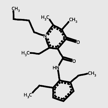 CCCCn1c(C)c(C)c(=O)c(C(=O)Nc2c(CC)cccc2CC)c1CC